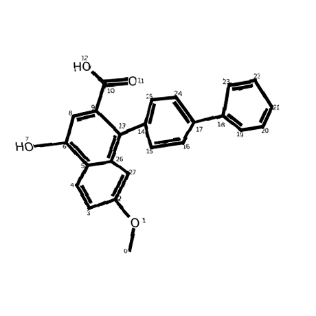 COc1ccc2c(O)cc(C(=O)O)c(-c3ccc(-c4ccccc4)cc3)c2c1